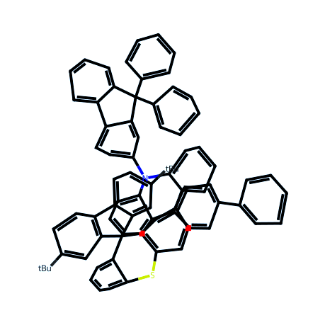 CC(C)(C)c1ccc2c(c1)C1(c3ccccc3Sc3ccc(-c4ccccc4N(c4ccc5c(c4)C(c4ccccc4)(c4ccccc4)c4ccccc4-5)c4ccccc4-c4ccc(-c5ccccc5)cc4)cc31)c1cc(C(C)(C)C)ccc1-2